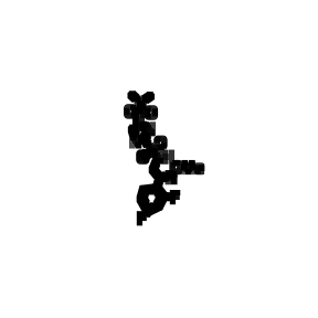 CO/N=C(\CNS(=O)(=O)c1ncn(S(=O)(=O)N(C)C)n1)c1ccc(F)cc1F